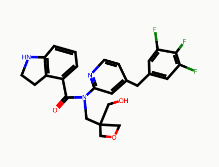 O=C(c1cccc2c1CCN2)N(CC1(CO)COC1)c1cc(Cc2cc(F)c(F)c(F)c2)ccn1